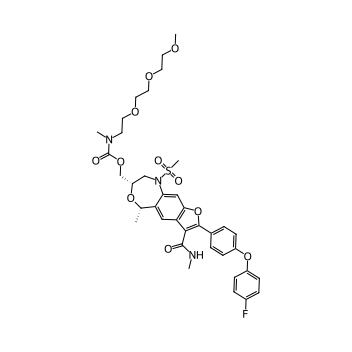 CNC(=O)c1c(-c2ccc(Oc3ccc(F)cc3)cc2)oc2cc3c(cc12)[C@H](C)O[C@H](COC(=O)N(C)CCOCCOCCOC)CN3S(C)(=O)=O